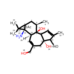 CC(=O)O[C@@]12C[C@@H](C)[C@]3(O)C4C=C(C)C(N=O)[C@@]4(O)CC(CO)=C[C@H]3[C@]1(N)C2(C)C